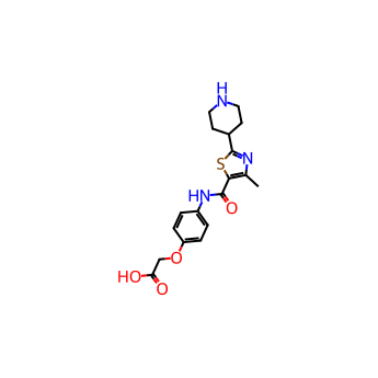 Cc1nc(C2CCNCC2)sc1C(=O)Nc1ccc(OCC(=O)O)cc1